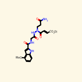 CCOC(=O)/C=C/C(=O)N(CCC(N)=O)NC(=O)CNC(=O)c1cc2c(OC)cccc2[nH]1